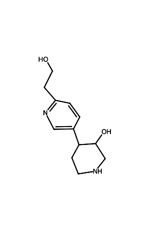 OCCc1ccc(C2CCNCC2O)cn1